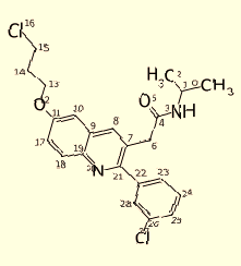 CC(C)NC(=O)Cc1cc2cc(OCCCCl)ccc2nc1-c1cccc(Cl)c1